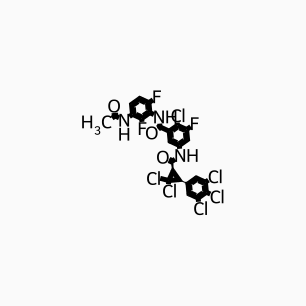 CC(=O)Nc1ccc(F)c(NC(=O)c2cc(NC(=O)[C@H]3[C@H](c4cc(Cl)c(Cl)c(Cl)c4)C3(Cl)Cl)cc(F)c2Cl)c1F